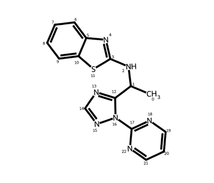 CC(Nc1nc2ccccc2s1)c1ncnn1-c1ncccn1